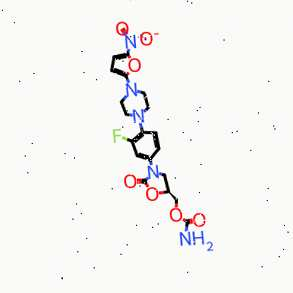 NC(=O)OC[C@@H]1CN(c2ccc(N3CCN(c4ccc([N+](=O)[O-])o4)CC3)c(F)c2)C(=O)O1